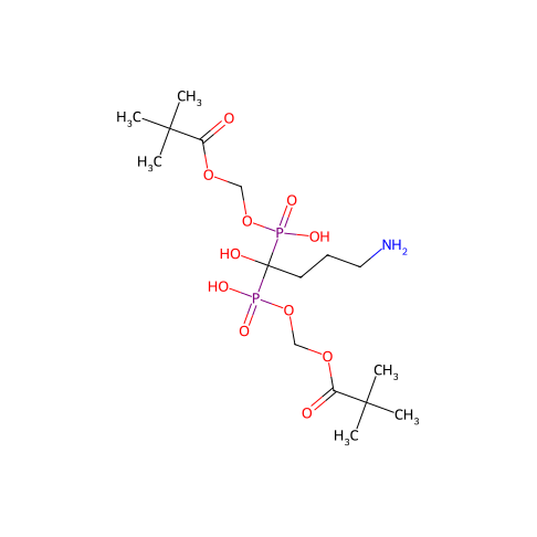 CC(C)(C)C(=O)OCOP(=O)(O)C(O)(CCCN)P(=O)(O)OCOC(=O)C(C)(C)C